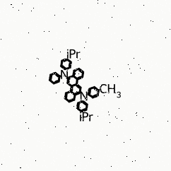 Cc1ccc(N(c2ccc(C(C)C)cc2)c2cc3c4ccccc4c(N(c4ccccc4)c4ccc(C(C)C)cc4)cc3c3ccccc23)cc1